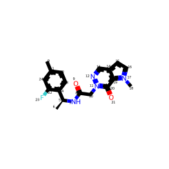 Cc1ccc([C@H](C)NC(=O)Cn2ncc3ccn(C)c3c2=O)c(F)c1